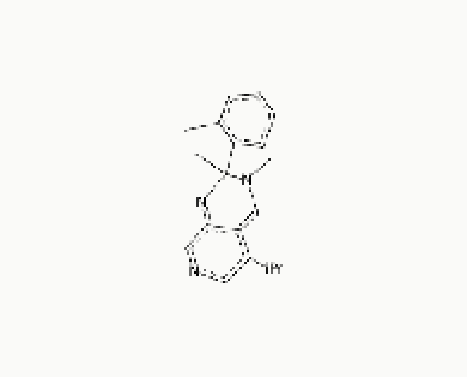 Cc1ccccc1C1(C)N=c2cncc(C(C)C)c2=CN1C